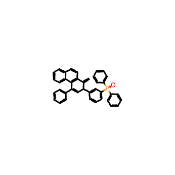 C=C1c2ccc3ccccc3c2C(c2ccccc2)=CC1c1cccc(P(=O)(c2ccccc2)c2ccccc2)c1